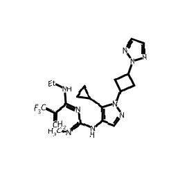 C=C(/C(=N\C(=N/C)Nc1cnn(C2CC(n3nccn3)C2)c1C1CC1)NCC)C(F)(F)F